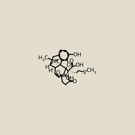 CSCC[C@](C(=O)O)(N1C(=O)CCC1=O)[C@@]12Oc3c(O)ccc4c3[C@@]13CCN(C)[C@H](C4)[C@@H]3C=C[C@@H]2O